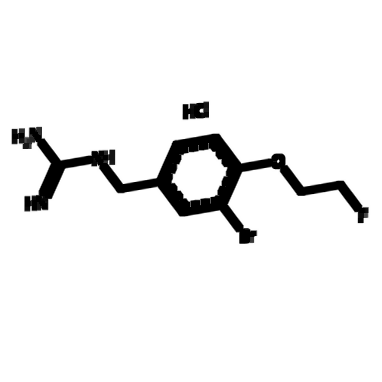 Cl.N=C(N)NCc1ccc(OCCF)c(Br)c1